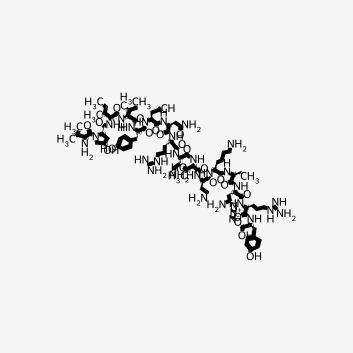 C#CC[C@H](NC(=O)[C@H](Cc1ccc(O)cc1)NC(=O)[C@@H](NC(=O)[C@@H](NC(=O)[C@@H]1C[C@@H](O)CN1C(=O)[C@@H](N)C(C)C)[C@@H](C)CC)[C@@H](C)CC)C(=O)N[C@@H](CC(N)=O)C(=O)N[C@@H](CCCNC(=N)N)C(=O)N[C@@H](CCN)C(=O)N[C@H](C(=O)N[C@H](CCN)C(=O)N[C@@H](CCCCN)C(=O)N[C@@H](CC)C(=O)N[C@@H](CC(N)N=[N+]=[N-])C(=O)N[C@@H](CCCNC(=N)N)C(=O)N[C@@H](Cc1ccc(O)cc1)C(=O)O)[C@@H](C)O